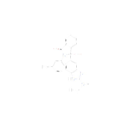 CN(C(=O)O)c1nc2cc(C3(O)c4ccccc4C(=O)N3c3cccc(C(C)(C)C)c3)ccc2[nH]1